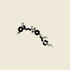 CN1CCN(C[C@@H](O)COc2ccc(S(=O)(=O)NCCCc3c[nH]c4ccc(Cl)cc34)cc2)CC1